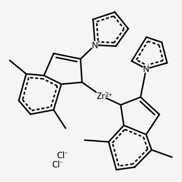 Cc1ccc(C)c2c1C=C(n1cccc1)[CH]2[Zr+2][CH]1C(n2cccc2)=Cc2c(C)ccc(C)c21.[Cl-].[Cl-]